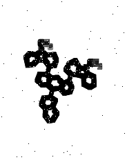 Cp1c2ccccc2c2c(-c3cccc4c(-c5ccc6ccccc6c5)c5cccc(-c6cccc7c6c6ccccc6p7C)c5cc34)cccc21